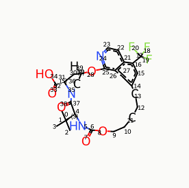 CC(C)(C)[C@@H]1NC(=O)OCCCCCc2cc(C(F)(F)F)c3ccnc(c3c2)O[C@@H]2C[C@@H](C(=O)O)N(C2)C1=O